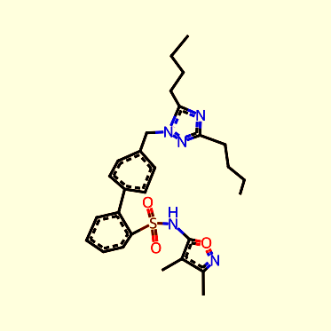 CCCCc1nc(CCCC)n(Cc2ccc(-c3ccccc3S(=O)(=O)Nc3onc(C)c3C)cc2)n1